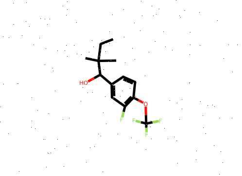 CCC(C)(C)C(O)c1ccc(OC(F)(F)F)c(F)c1